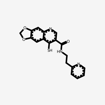 O=C(NCCc1ccccn1)c1cnc2cc3c(cc2c1S)OCO3